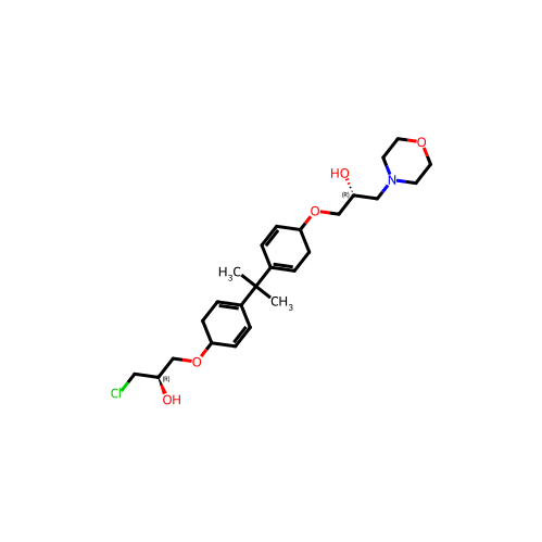 CC(C)(C1=CCC(OC[C@@H](O)CCl)C=C1)C1=CCC(OC[C@H](O)CN2CCOCC2)C=C1